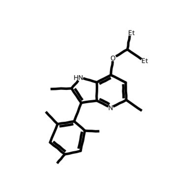 CCC(CC)Oc1cc(C)nc2c(-c3c(C)cc(C)cc3C)c(C)[nH]c12